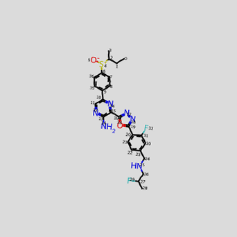 CCC(C)[S+]([O-])c1ccc(-c2cnc(N)c(-c3nnc(-c4ccc(CNCC(C)F)cc4F)o3)n2)cc1